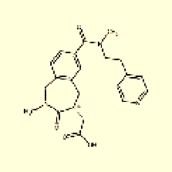 CN(CCc1ccncc1)C(=O)c1ccc2c(c1)C[C@H](CC(=O)O)C(=O)N(C)C2